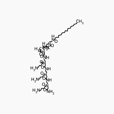 CCCCCCCCCCCCCCCC(=O)NCCN(CC(=O)N[C@@H](C)CN(CC(=O)NCCN(CC(=O)NCCN(CC(=O)NCCN(CC(N)=O)C(=O)CCCN)C(=O)CCCN)C(=O)CCCN)C(C)=O)C(C)=O